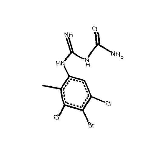 Cc1c(NC(=N)NC(N)=O)cc(Cl)c(Br)c1Cl